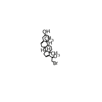 C[C@]12CC[C@H](O)CC1=CC[C@@H]1[C@@H]2CC[C@]2(C)C(C(=O)CBr)=CC[C@@H]12